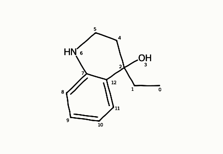 CCC1(O)CCNc2ccccc21